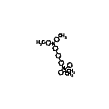 Cc1ccc(N(c2ccc(C)cc2)c2ccc(-c3ccc(-c4ccc(N5c6ccccc6C(C)(C)C5c5ccccc5)cc4)cc3)cc2)cc1